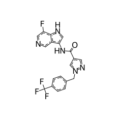 O=C(Nc1c[nH]c2c(F)cncc12)c1cnn(Cc2ccc(C(F)(F)F)cc2)c1